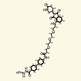 CCCNNC(=O)c1ccc(-c2ccc(NC(=O)CCOCCOCCOCCNc3cccc4c3C(=O)N(C3CCC(=O)NC3)C4=O)cc2)cc1